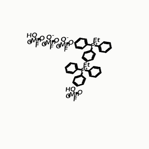 CC[P+](c1ccccc1)(c1ccccc1)c1ccccc1.CC[P+](c1ccccc1)(c1ccccc1)c1ccccc1.[O]=[Mn](=[O])([O-])[F].[O]=[Mn](=[O])([O-])[F].[O]=[Mn](=[O])([OH])[F].[O]=[Mn](=[O])([OH])[F]